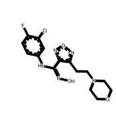 O/N=C(/Nc1ccc(F)c(Cl)c1)c1nonc1CCN1CCOCC1